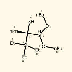 CCCCO[SiH](OCCCC)[C@](S)(CCC)[Si](CC)(CC)CC